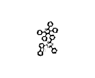 c1ccc(-c2nc(-c3cccc(-c4c(-c5ccccc5)c(-c5ccccc5)nc(-c5ccccc5)c4-c4ccccc4)c3)nc(-c3cccc4c3oc3ccccc34)n2)cc1